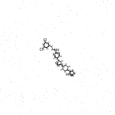 Clc1cc(Cl)cc(CCNc2ncc(C3CC(N4CCC(c5cnn[nH]5)CC4)=NO3)cn2)c1